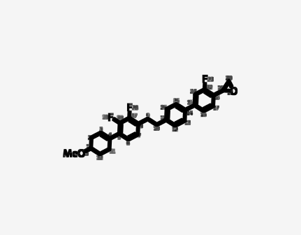 COC1CC=C(c2ccc(CCc3ccc(-c4ccc(C5CO5)c(F)c4)cc3)c(F)c2F)CC1